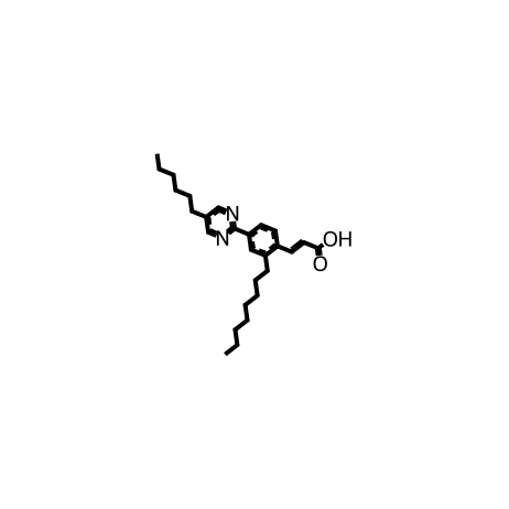 CCCCCCCCc1cc(-c2ncc(CCCCCC)cn2)ccc1/C=C/C(=O)O